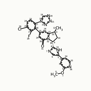 COc1cc(-c2cnc([C@H]3C[C@H](C)c4nc(-c5c(-n6cnnn6)ccc(Cl)c5F)cc(=O)n43)[nH]2)ccn1